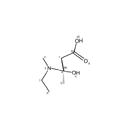 CCN(C)[C@](C)(O)CC(=O)O